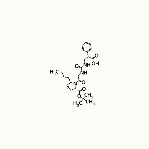 CCCC[C@@H]1SC[C@@H](C(=O)OC(C)(C)C)N1C(=O)CNC(=O)NCC(C(=O)O)c1ccccc1